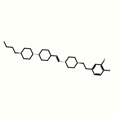 CCCC[C@H]1CC[C@H](C2CCC(/C=C/[C@H]3CC[C@H](CCc4ccc(F)c(F)c4)CC3)CC2)CC1